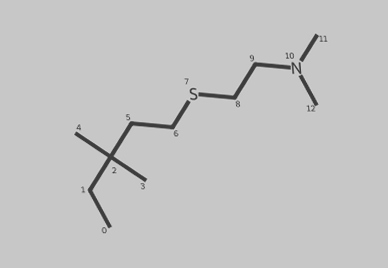 CCC(C)(C)CCSCCN(C)C